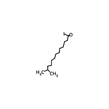 CC(C)CCCCCCCCCCC(=O)I